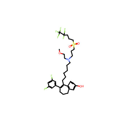 COCCN(CCCCCCC1=C(c2cc(F)cc(F)c2)CCCc2cc(O)ccc21)CCCS(=O)(=O)CCCC(F)(F)C(F)(F)F